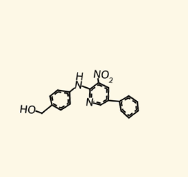 O=[N+]([O-])c1cc(-c2ccccc2)cnc1Nc1ccc(CO)cc1